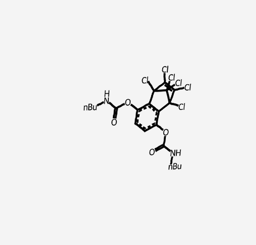 CCCCNC(=O)Oc1ccc(OC(=O)NCCCC)c2c1C1(Cl)C(Cl)=C(Cl)C2(Cl)C1(Cl)Cl